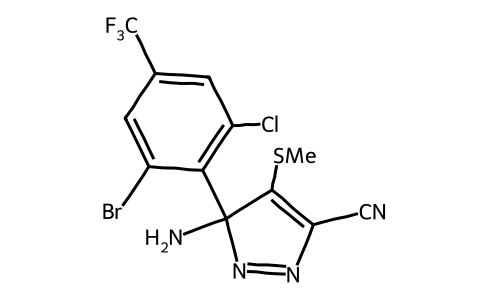 CSC1=C(C#N)N=NC1(N)c1c(Cl)cc(C(F)(F)F)cc1Br